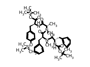 C[C@@H](C(=O)N[C@@H](Cc1ccc(O[Si](C)(C)C)cc1)C(=O)O[Si](C)(C)C)N(C)C(=O)[C@H](Cc1ccccc1)N(C)C(=O)[C@H](Cc1ccccc1)NC(=O)OC(C)(C)C